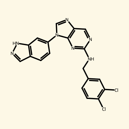 Clc1ccc(CNc2ncc3ncn(-c4ccc5cn[nH]c5c4)c3n2)cc1Cl